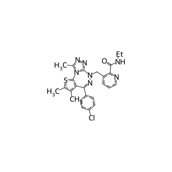 CCNC(=O)c1ncccc1CN1N=C(c2ccc(Cl)cc2)c2c(sc(C)c2C)-n2c(C)nnc21